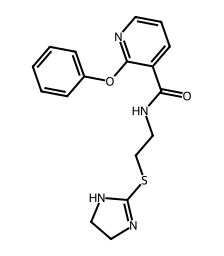 O=C(NCCSC1=NCCN1)c1cccnc1Oc1ccccc1